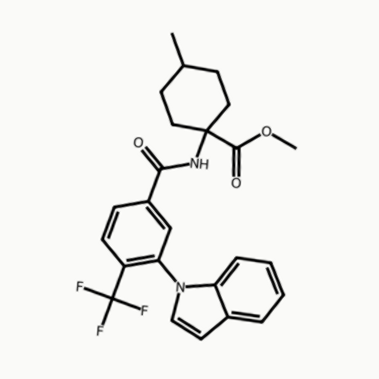 COC(=O)C1(NC(=O)c2ccc(C(F)(F)F)c(-n3ccc4ccccc43)c2)CCC(C)CC1